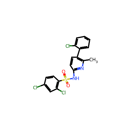 Cc1nc(NS(=O)(=O)c2ccc(Cl)cc2Cl)ccc1-c1ccccc1Cl